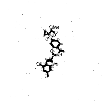 COC(=O)C1(S(=O)(=O)c2ccc(C(C)NC(=O)c3cc4c(Cl)cc(C)cc4n3C)cc2)CC1